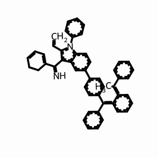 C=Cc1c(C(=N)C2=CC=CCC2)c2cc(-c3ccc(/C(c4ccccc4)=c4/cccc/c4=C(/C)c4ccccc4)cc3)ccc2n1-c1ccccc1